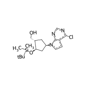 CC(C)(C)[Si](C)(C)O[C@@H]1C[C@H](n2ccc3c(Cl)ncnc32)C[C@H]1CO